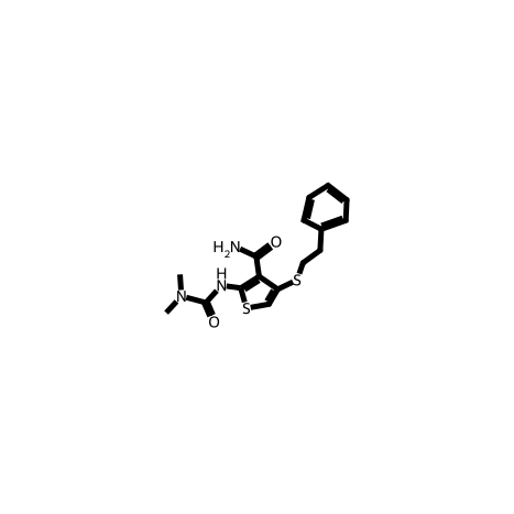 CN(C)C(=O)Nc1scc(SCCc2ccccc2)c1C(N)=O